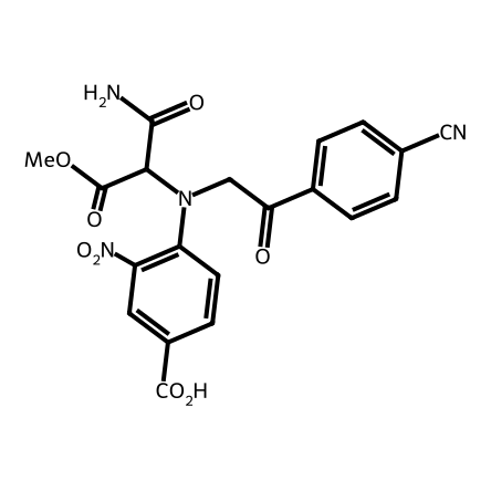 COC(=O)C(C(N)=O)N(CC(=O)c1ccc(C#N)cc1)c1ccc(C(=O)O)cc1[N+](=O)[O-]